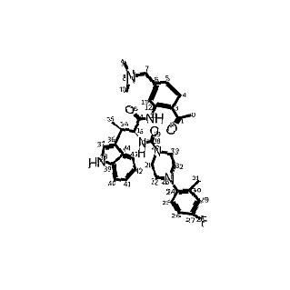 CC(=O)c1ccc(CN(C)C)cc1NC(=O)[C@H](NC(=O)N1CCN(c2ccc(F)cc2C)CC1)[C@H](C)c1c[nH]c2ccccc12